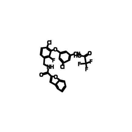 N#Cc1cc(Cl)cc(Oc2c(Cl)ccc(CNC(=O)c3cc4ccccc4o3)c2F)c1.O=C(O)C(F)(F)F